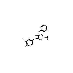 COc1cc(N2C[C@@]3(Cc4ccccc4)CN(C(=O)O)C[C@@H]23)cnc1Br